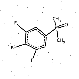 CP(C)(=O)c1cc(F)c(Br)c(F)c1